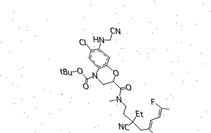 C=CC(=CC=C(C)F)CC(C#N)(CC)CCN(C)C(=O)C1CN(C(=O)OC(C)(C)C)c2cc(Cl)c(NCC#N)cc2O1